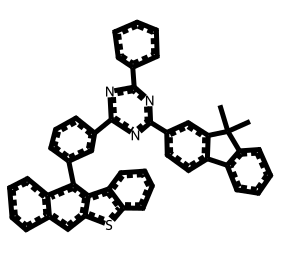 CC1(C)c2ccccc2-c2ccc(-c3nc(-c4ccccc4)nc(-c4cccc(-c5c6ccccc6cc6sc7ccccc7c56)c4)n3)cc21